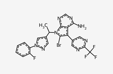 CC(c1cnn(-c2ccccc2F)c1)n1c(Br)c(-c2cnc(C(F)(F)F)nc2)c2c(N)ncnc21